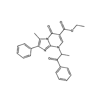 CCOC(=O)c1cn(C(C)C(=O)c2ccccc2)c2nc(-c3ccccc3)c(C)n2c1=O